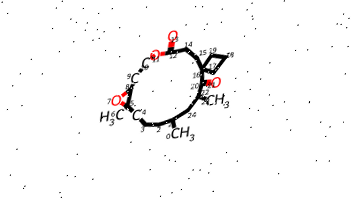 CC1CCCC2(C)OC2CCOC(=O)CCC2(CCC2)C(=O)C(C)C1